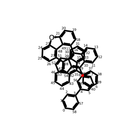 c1ccc(-c2cccc(-c3c4ccccc4c(-c4cccc5oc6cccc(-c7c8ccccc8c(-c8ccccc8)c8ccccc78)c6c45)c4ccccc34)c2)cc1